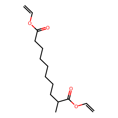 C=COC(=O)CCCCCCCC(C)C(=O)OC=C